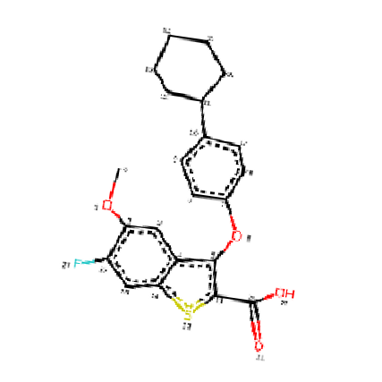 COc1cc2c(Oc3ccc(C4CCCCC4)cc3)c(C(=O)O)sc2cc1F